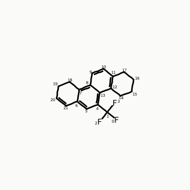 FC(F)(F)c1cc2c(c3ccc4c(c13)CCCC4)CCC=C2